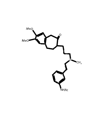 COc1cc2c(cc1OC)CC(=O)C(CCCN(C)CCc1cccc(NC(C)=O)c1)CC2